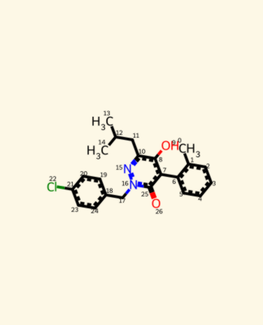 Cc1ccccc1-c1c(O)c(CC(C)C)nn(Cc2ccc(Cl)cc2)c1=O